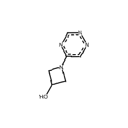 OC1CN(c2cnncn2)C1